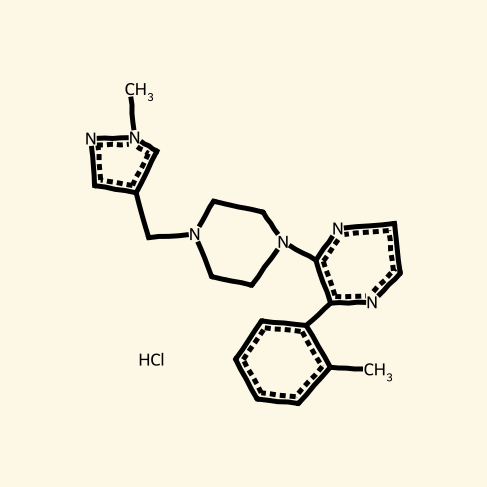 Cc1ccccc1-c1nccnc1N1CCN(Cc2cnn(C)c2)CC1.Cl